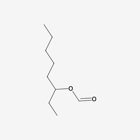 CCCCCC(CC)OC=O